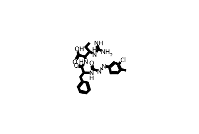 CCC(NC(=N)N)C(NC(=O)C(Cc1ccccc1)NC(=O)/N=N/c1ccc(C)c(Cl)c1)C(=O)O